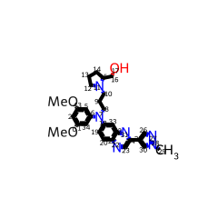 COc1cc(OC)cc(N(CCCN2CCCC2CO)c2ccc3ncc(-c4cnn(C)c4)nc3c2)c1